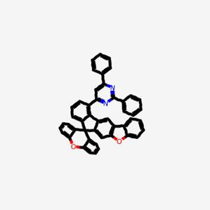 c1ccc(-c2cc(-c3cccc4c3-c3cc5c(cc3C43c4ccccc4Oc4ccccc43)oc3ccccc35)nc(-c3ccccc3)n2)cc1